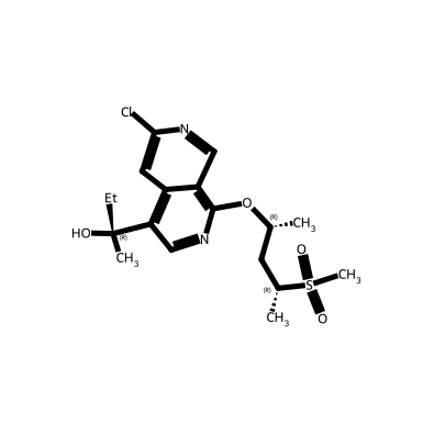 CC[C@@](C)(O)c1cnc(O[C@H](C)C[C@@H](C)S(C)(=O)=O)c2cnc(Cl)cc12